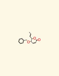 C/C=C/C1OC(=O)C=CC1OCc1ccccc1